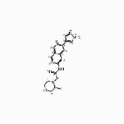 CC1COCCN1CC(=O)Nc1cc2cc(-c3cnn(C)c3)ncc2cn1